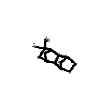 CCC1(O)CC2CC1C1C3CCC(C3)C21